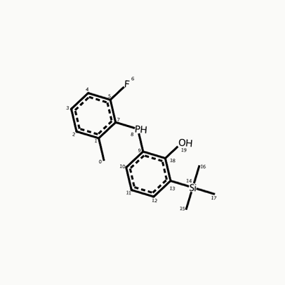 Cc1cccc(F)c1Pc1cccc([Si](C)(C)C)c1O